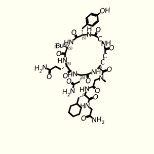 CC[C@H](C)[C@@H]1NC(=O)[C@H](Cc2ccc(O)cc2)NC(=O)CNC(=O)CC[C@@H](C(=O)N(C)CC(=O)N[C@@H](CC2CCCCC2)C(=O)NCC(N)=O)NC(=O)[C@H](CC(N)=O)NC(=O)[C@H](CCC(N)=O)NC1=O